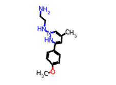 COc1ccc(C2=CC(C)=CN(NCCN)N2)cc1